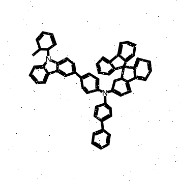 CC1C=CC=CC1n1c2ccccc2c2cc(-c3ccc(N(C4=CC=C5c6ccccc6C6(c7ccccc7-c7ccccc76)C5C4)c4ccc(-c5ccccc5)cc4)cc3)ccc21